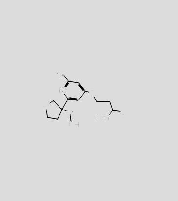 CO[C@@]1(c2cc(OCCC(C)O)cc(Cl)n2)CCOC1